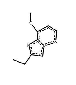 CCc1cn2nccc(OC)c2n1